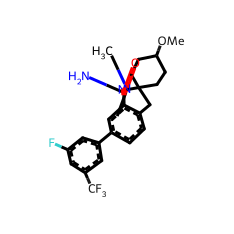 COC1CCC2(CC1)Cc1ccc(-c3cc(F)cc(C(F)(F)F)c3)cc1C21N=C(N)N(C)C1=O